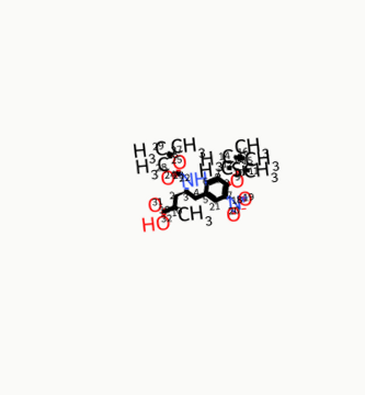 CC(C[C@H](Cc1ccc(O[Si](C)(C)C(C)(C)C)c([N+](=O)[O-])c1)NC(=O)OC(C)(C)C)C(=O)O